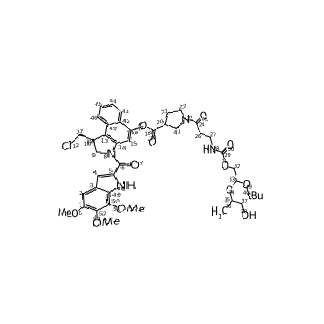 COc1cc2cc(C(=O)N3C[C@@H](CCl)c4c3cc(OC(=O)C3CCN(C(=O)CCNC(=O)OCC(OC(C)CO)OC(C)(C)C)C3)c3ccccc43)[nH]c2c(OC)c1OC